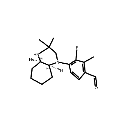 Cc1c(C=O)ccc(N2CC(C)(C)N[C@@H]3CCCC[C@@H]32)c1F